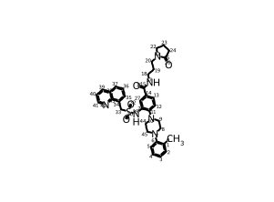 Cc1ccccc1N1CCN(c2ccc(C(=O)NCCCN3CCCC3=O)cc2NS(=O)(=O)Cc2cccc3cccnc23)CC1